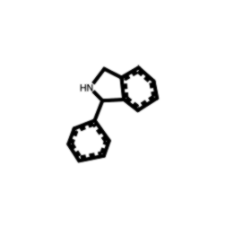 [c]1cccc2c1CNC2c1ccccc1